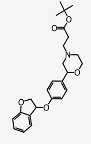 CC(C)(C)OC(=O)CCN1CCOC(c2ccc(OC3COc4ccccc43)cc2)C1